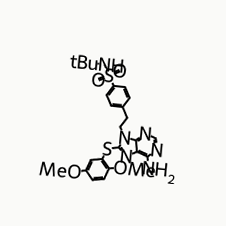 COc1ccc(OC)c(Sc2nc3c(N)ncnc3n2CCc2ccc(S(=O)(=O)NC(C)(C)C)cc2)c1